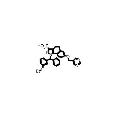 CCOc1cccc(C(c2ccccc2)n2nc(C(=O)O)c3c2-c2ccc(OCc4cncnc4)cc2CC3)c1